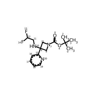 CC(C)(C)OC(=O)N1CC(NCC(F)F)(c2ccccn2)C1